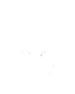 COCCOCn1nccc1[C@H]1CCC(F)(F)C[C@@H]1O